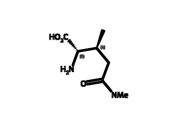 CNC(=O)C[C@H](C)[C@H](N)C(=O)O